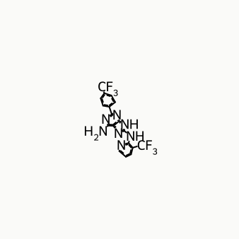 Nc1nc(-c2ccc(C(F)(F)F)cc2)nc2[nH]c(Nc3ncccc3C(F)(F)F)nc12